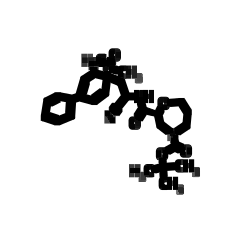 CC(C)(C)OC(=O)N1CCCO[C@H](C(=O)NC(C#N)CC2(P(C)(C)=O)C=CC(c3ccccc3)=CC2F)C1